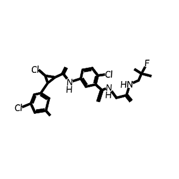 C=C(CNC(=C)c1cc(NC(=C)C2C(Cl)C2c2cc(C)cc(Cl)c2)ccc1Cl)NCC(C)(C)F